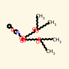 CCCCCCCCC(CCCCCCCC)OC(=O)CCCCCCCOP(=O)(OCCCCCCCC(=O)OC(CCCCCCCC)CCCCCCCC)OCCCN1CCC(OCc2ccccc2)CC1